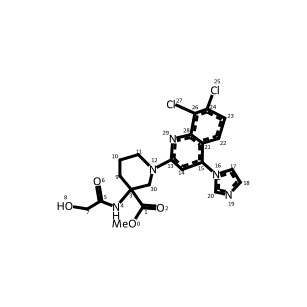 COC(=O)C1(NC(=O)CO)CCCN(c2cc(-n3ccnc3)c3ccc(Cl)c(Cl)c3n2)C1